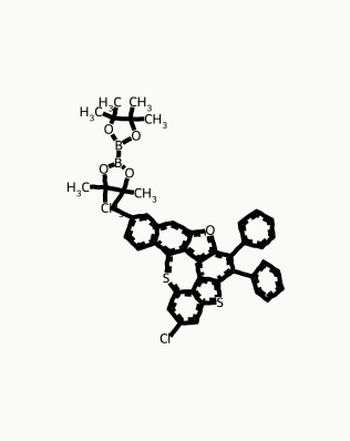 CC1(C)OB(B2OC(C)(C)C(C)(Cc3ccc4c(c3)cc3oc5c(-c6ccccc6)c(-c6ccccc6)c6sc7cc(Cl)cc8sc4c3c5c6c78)O2)OC1(C)C